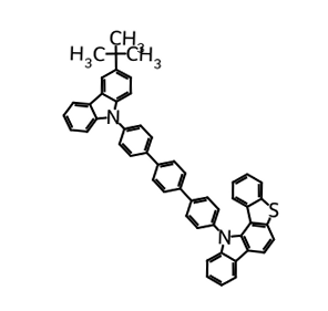 CC(C)(C)c1ccc2c(c1)c1ccccc1n2-c1ccc(-c2ccc(-c3ccc(-n4c5ccccc5c5ccc6sc7ccccc7c6c54)cc3)cc2)cc1